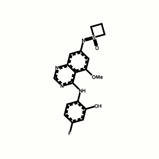 COc1cc(N=S2(=O)CCC2)cc2ncnc(Nc3ccc(F)cc3O)c12